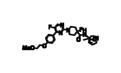 COCCOc1ccc(-c2nc(N3CCC(F)(C(=O)NC4(C)CCN5CCC4CC5)CC3)ncc2F)cc1